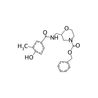 Cc1cc(C(=O)NCC2CN(C(=O)OCc3ccccc3)CCO2)ccc1O